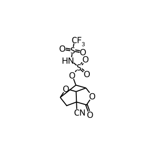 N#CC12CC3OC1C(OC2=O)C3OS(=O)(=O)NS(=O)(=O)C(F)(F)F